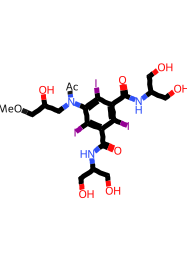 COCC(O)CN(C(C)=O)c1c(I)c(C(=O)NC(CO)CO)c(I)c(C(=O)NC(CO)CO)c1I